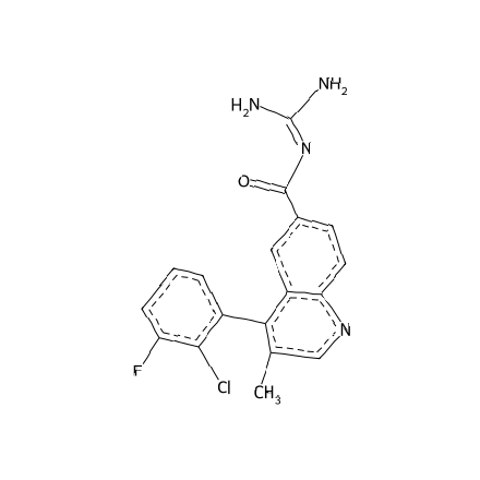 Cc1cnc2ccc(C(=O)N=C(N)N)cc2c1-c1cccc(F)c1Cl